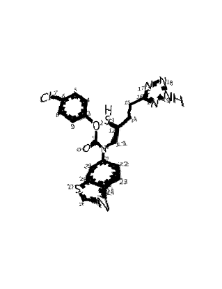 O=C(Oc1ccc(Cl)cc1)N(CC(S)CCc1nn[nH]n1)c1ccc2ncsc2c1